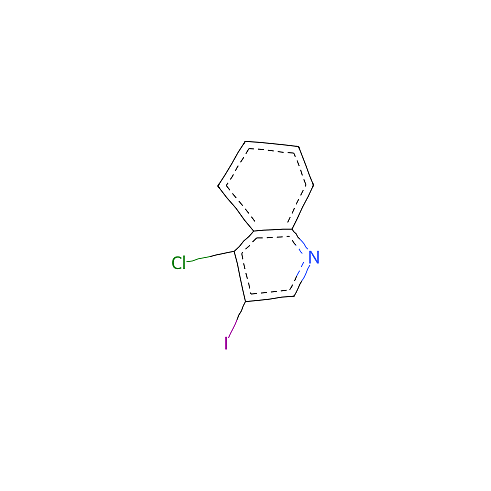 Clc1c(I)cnc2ccccc12